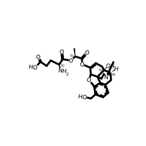 C[C@H](OC(=O)[C@@H](N)CCC(=O)O)C(=O)OC1=CC[C@@]2(O)[C@H]3Cc4ccc(CO)c5c4C2(CCN3C)C1O5